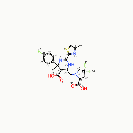 Cc1csc(C2=NC(C)(c3ccc(F)cc3)C(C(=O)O)=C(CN3CC(F)(F)CC3C(=O)O)N2)n1